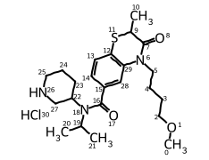 COCCCCN1C(=O)C(C)Sc2ccc(C(=O)N(C(C)C)C3CCCNC3)cc21.Cl